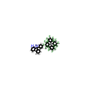 Fc1c(F)c(F)c([B-](c2c(F)c(F)c(F)c(F)c2F)(c2c(F)c(F)c(F)c(F)c2F)c2c(F)c(F)c(F)c(F)c2F)c(F)c1F.[NH3+]C(c1ccccc1)(c1ccccc1)c1ccccc1